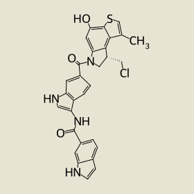 Cc1csc2c(O)cc3c(c12)[C@H](CCl)CN3C(=O)c1ccc2c(NC(=O)c3ccc4cc[nH]c4c3)c[nH]c2c1